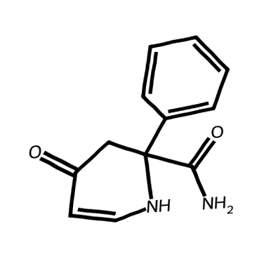 NC(=O)C1(c2ccccc2)CC(=O)C=CN1